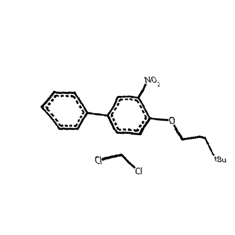 CC(C)(C)CCOc1ccc(-c2ccccc2)cc1[N+](=O)[O-].ClCCl